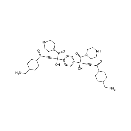 NCC1CCC(C(=O)C#CC(O)(C(=O)N2CCNCC2)c2ccc(C(O)(C#CC(=O)C3CCC(CN)CC3)C(=O)N3CCNCC3)cc2)CC1